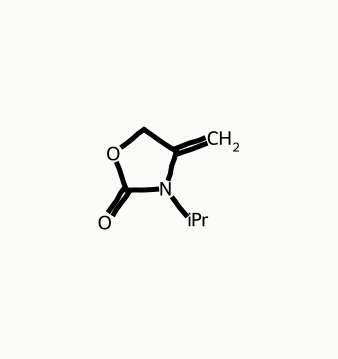 C=C1COC(=O)N1C(C)C